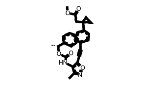 COC(=O)CC1(c2ccc(C#Cc3onc(C)c3NC(=O)O[C@H](C)c3ccccc3)cc2)CC1